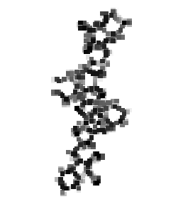 O=C1C(=O)c2ccccc2/C1=C/c1cc2c(s1)-c1sc3c4c(sc3c1C1(CCCCC1)O2)-c1sc(/C=C2\C(=O)C(=O)c3ccccc32)cc1OC41CCCCC1